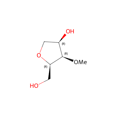 CO[C@@H]1[C@H](O)CO[C@@H]1CO